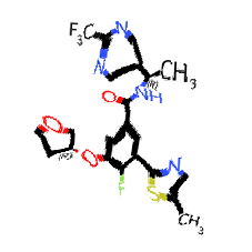 Cc1cnc(-c2cc(C(=O)N[C@H](C)c3cnc(C(F)(F)F)nc3)cc(O[C@@H]3CCOC3)c2F)s1